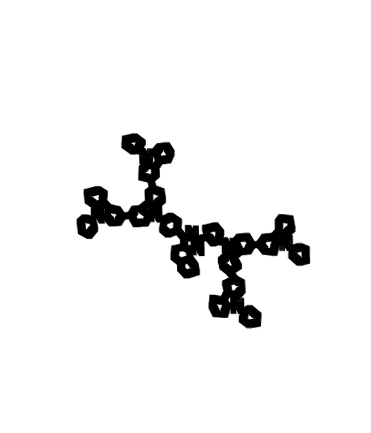 c1ccc(-n2c3ccccc3c3cc(-c4ccc5c(c4)c4cc(-c6ccc7c(c6)c6ccccc6n7-c6ccccc6)ccc4n5-c4ccc(-c5nc(-c6cccc(-n7c8ccc(-c9ccc%10c(c9)c9ccccc9n%10-c9ccccc9)cc8c8cc(-c9ccc%10c(c9)c9ccccc9n%10-c9ccccc9)ccc87)c6)nc6c5ccc5ccccc56)cc4)ccc32)cc1